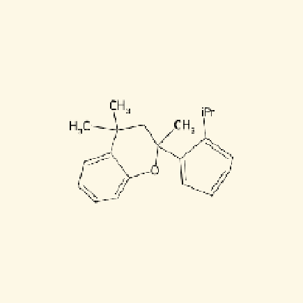 CC(C)c1ccccc1C1(C)CC(C)(C)c2ccccc2O1